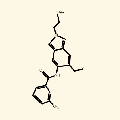 COCCn1cc2cc(NC(=O)c3cccc(C(F)(F)F)n3)c(CO)cc2n1